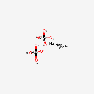 [Ba+2].[Na+].[Na+].[O]=[Mo](=[O])([O-])[O-].[O]=[Mo](=[O])([O-])[O-]